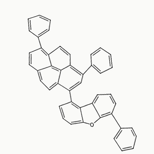 c1ccc(-c2ccc3ccc4c(-c5cccc6oc7c(-c8ccccc8)cccc7c56)cc(-c5ccccc5)c5ccc2c3c54)cc1